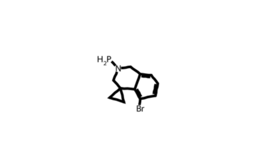 PN1Cc2cccc(Br)c2C2(CC2)C1